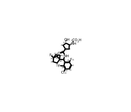 O=C(O)N[C@H]1CC(C(=O)NC(c2c(F)ccc(Cl)c2F)C23CCC(F)(CC2)C3)C[C@@H]1O